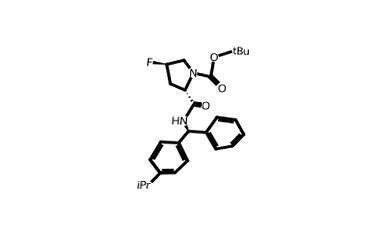 CC(C)c1ccc([C@@H](NC(=O)[C@@H]2C[C@@H](F)CN2C(=O)OC(C)(C)C)c2ccccc2)cc1